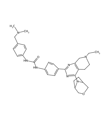 CCN1CCc2c(nc(-c3ccc(NC(=O)Nc4ccc(CN(C)C)cc4)cc3)nc2N2C3CCC2COC3)C1